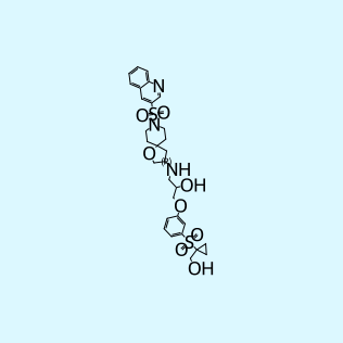 O=S(=O)(c1cnc2ccccc2c1)N1CCC2(CC1)C[C@@H](NCC(O)COc1cccc(S(=O)(=O)C3(CO)CC3)c1)CO2